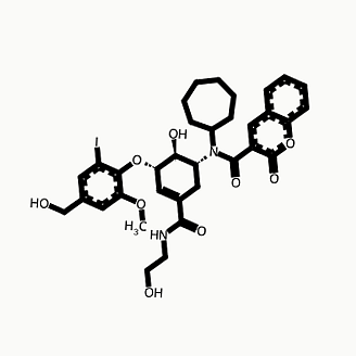 COc1cc(CO)cc(I)c1O[C@H]1C=C(C(=O)NCCO)C[C@@H](N(C(=O)c2cc3ccccc3oc2=O)C2CCCCCC2)[C@@H]1O